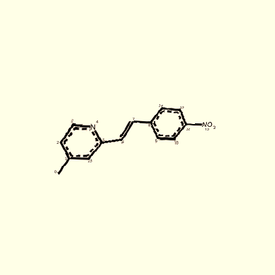 Cc1ccnc(/C=C/c2ccc([N+](=O)[O-])cc2)c1